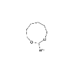 CCCC1OCCCCCCO1